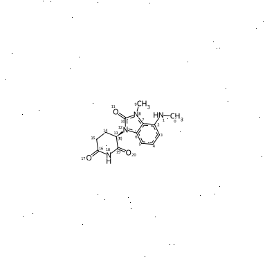 CNc1cccc2c1n(C)c(=O)n2[C@@H]1CCC(=O)NC1=O